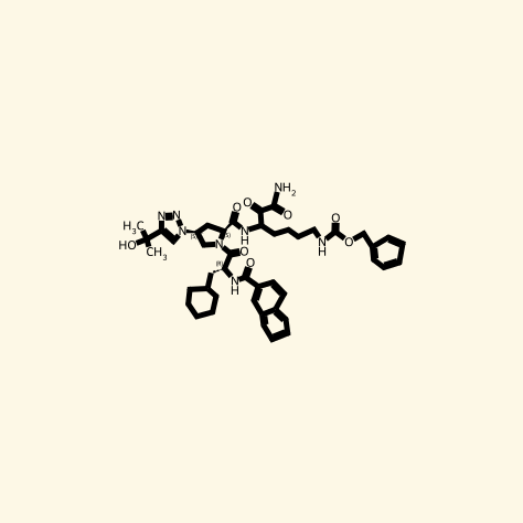 CC(C)(O)c1cn([C@H]2C[C@@H](C(=O)NC(CCCCNC(=O)OCc3ccccc3)C(=O)C(N)=O)N(C(=O)[C@@H](CC3CCCCC3)NC(=O)c3ccc4ccccc4c3)C2)nn1